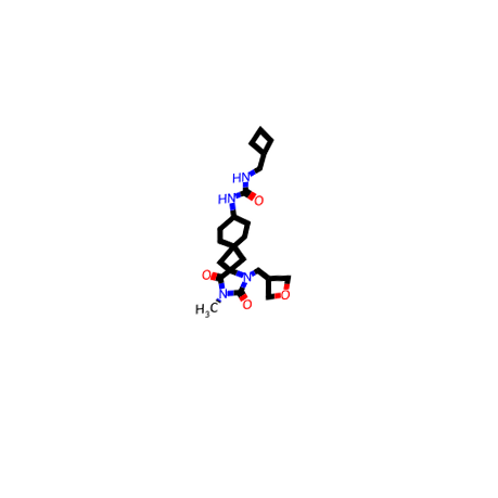 CN1C(=O)N(CC2COC2)C2(CC3(CCC(NC(=O)NCC4CCC4)CC3)C2)C1=O